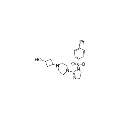 CC(C)c1ccc(S(=O)(=O)N2CCN=C2N2CCN(C3CC(O)C3)CC2)cc1